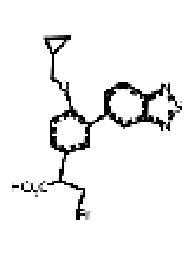 CC(C)CC(C(=O)O)c1ccc(OCC2CC2)c(-c2ccc3nsnc3c2)c1